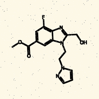 COC(=O)c1cc(F)c2nc(CO)n(CCn3cccn3)c2c1